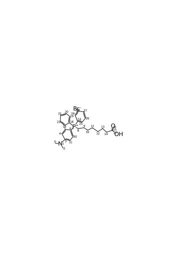 CN(C)c1ccc([P+](CCCCCCCC(=O)O)(c2ccccc2)c2ccccc2)cc1.[Br-]